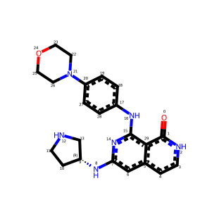 O=c1[nH]ccc2cc(N[C@@H]3CCNC3)nc(Nc3ccc(N4CCOCC4)cc3)c12